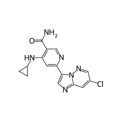 NC(=O)c1cnc(-c2cnc3cc(Cl)cnn23)cc1NC1CC1